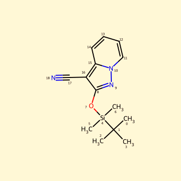 CC(C)(C)[Si](C)(C)Oc1nn2ccccc2c1C#N